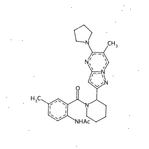 CC(=O)Nc1ccc(C)cc1C(=O)N1CCCCC1c1cc2nc(N3CCCC3)c(C)cn2n1